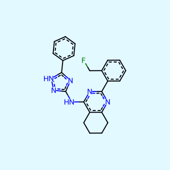 FCc1ccccc1-c1nc2c(c(Nc3n[nH]c(-c4ccccc4)n3)n1)CCCC2